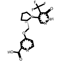 O=C(O)c1cc(OC[C@@H]2CCCN2c2cn[nH]c(=O)c2C(F)(F)F)ccn1